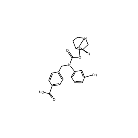 O=C(O)c1ccc(CN(C(=O)O[C@H]2CN3CCC2CC3)c2cccc(O)c2)cc1